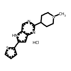 CN1CCC(c2ncc3[nH]c(-c4cccs4)cc3n2)CC1.Cl